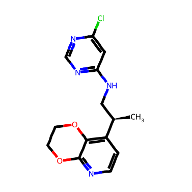 C[C@H](CNc1cc(Cl)ncn1)c1ccnc2c1OCCO2